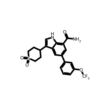 NC(=O)c1cc(-c2cccc(OC(F)(F)F)c2)cc2c(C3CCS(=O)(=O)CC3)c[nH]c12